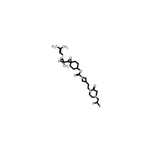 CC(C)=CC[C@H]1O[C@@]1(C)C1OC12CCC(OC(=O)N1CC(CCN3CCN(CC(F)F)CC3=O)C1)CC2